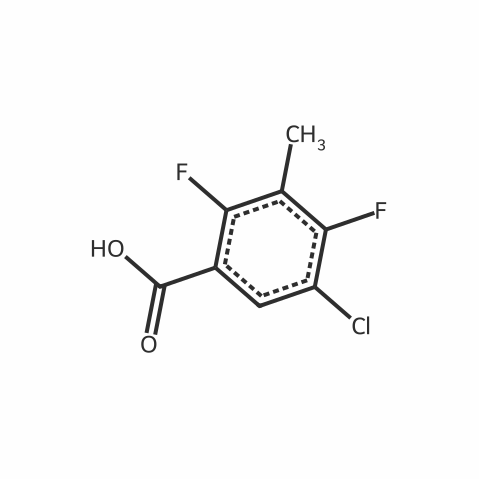 Cc1c(F)c(Cl)cc(C(=O)O)c1F